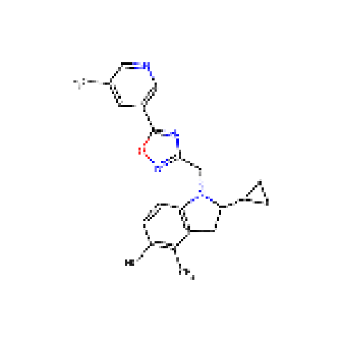 N#Cc1ccc2c(c1C(F)(F)F)CC(C1CC1)N2Cc1noc(-c2cncc(C(F)(F)F)c2)n1